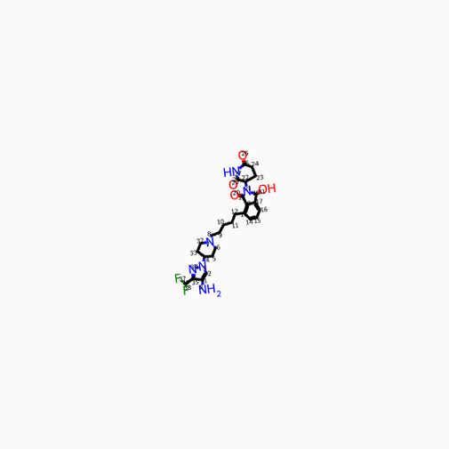 Nc1cn(C2CCN(CCCCCc3cccc4c3C(=O)N(C3CCC(=O)NC3=O)C4O)CC2)nc1C(F)F